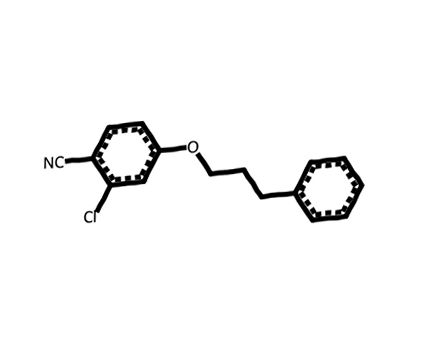 N#Cc1ccc(OCCCc2ccccc2)cc1Cl